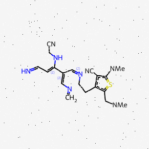 C=N/C=C(\C=N/CCc1c(CNC)sc(NC)c1C#N)C(=C/C=N)/NCC#N